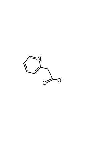 [O]C(=O)Cc1ccccn1